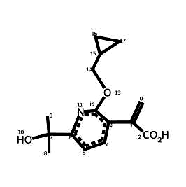 C=C(C(=O)O)c1ccc(C(C)(C)O)nc1OCC1CC1